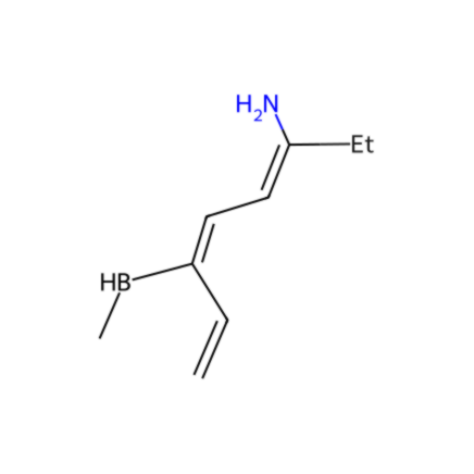 C=C/C(BC)=C\C=C(/N)CC